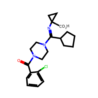 O=C(c1ccccc1Cl)N1CCN(C(=NC2(C(=O)O)CC2)C2CCCC2)CC1